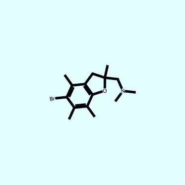 Cc1c(C)c2c(c(C)c1Br)CC(C)(CN(C)C)O2